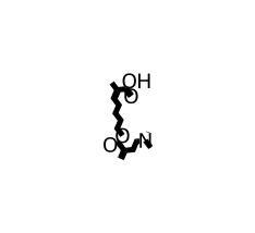 C=C(CCN(C)C)C(=O)OCCCCC=C(C)C(=O)O